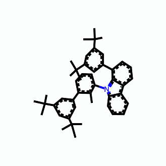 Cc1c(-c2cc(C(C)(C)C)cc(C(C)(C)C)c2)cccc1-n1c2ccccc2c2cccc(-c3cc(C(C)(C)C)cc(C(C)(C)C)c3)c21